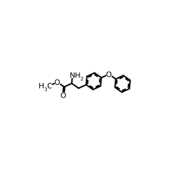 COC(=O)C(N)Cc1ccc(Oc2ccccc2)cc1